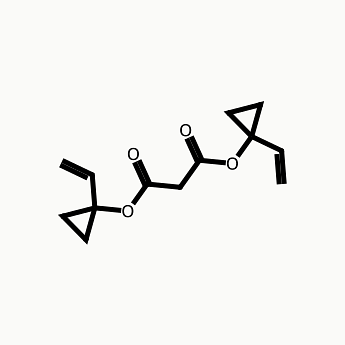 C=CC1(OC(=O)CC(=O)OC2(C=C)CC2)CC1